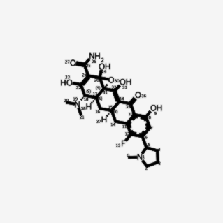 CN1CCCC1c1cc(O)c2c(c1F)C[C@H]1C[C@H]3[C@H](N(C)C)C(O)=C(C(N)=O)C4(O)O[C@]34C(O)=C1C2=O